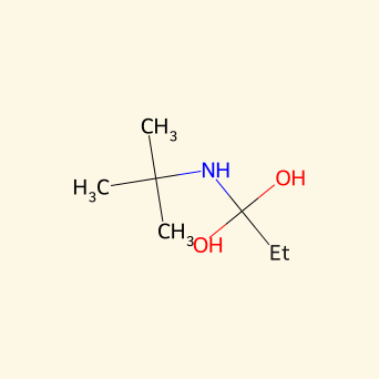 CCC(O)(O)NC(C)(C)C